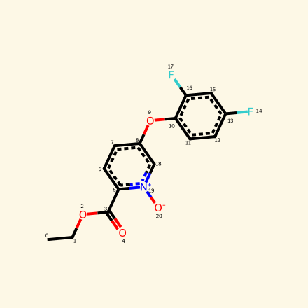 CCOC(=O)c1ccc(Oc2ccc(F)cc2F)c[n+]1[O-]